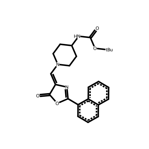 CC(C)(C)OC(=O)NC1CCN(C=C2N=C(c3cccc4ccccc34)OC2=O)CC1